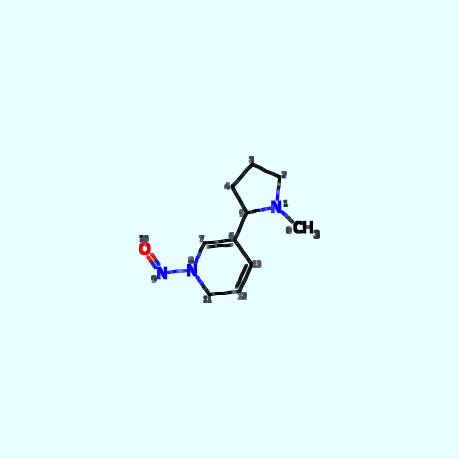 CN1CCCC1C1=CN(N=O)CC=C1